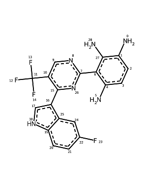 Nc1ccc(N)c(-c2ncc(C(F)(F)F)c(-c3c[nH]c4ccc(F)cc34)n2)c1N